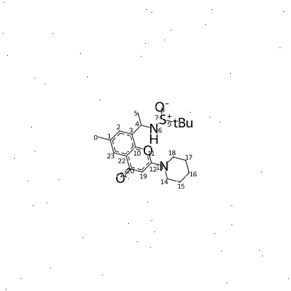 Cc1cc(C(C)N[S+]([O-])C(C)(C)C)c2oc(N3CCCCC3)cc(=O)c2c1